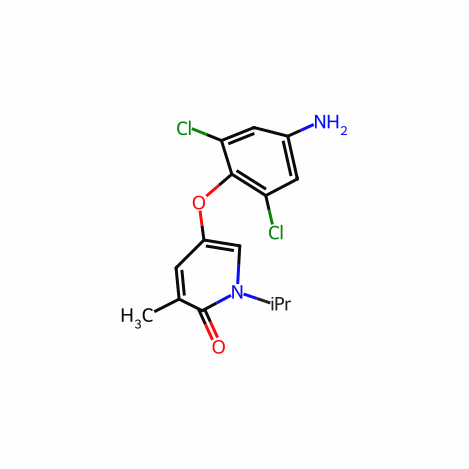 Cc1cc(Oc2c(Cl)cc(N)cc2Cl)cn(C(C)C)c1=O